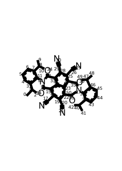 CC(C)c1cccc(C(C)C)c1N1C(=O)c2c(C#N)c(C#N)c3c4c(c(C#N)c(C#N)c(c24)C1=O)C(=O)N(c1c(C(C)C)cccc1C(C)C)C3=O